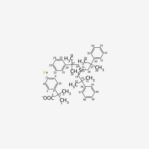 CC(C)(C(=O)[O-])c1ccc(F)cc1.CC(C)([CH2][Sn+]([CH2]C(C)(C)c1ccccc1)[CH2]C(C)(C)c1ccccc1)c1ccccc1